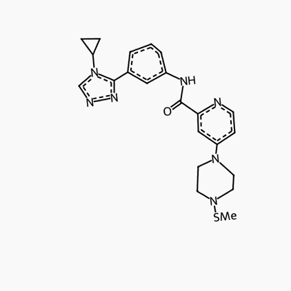 CSN1CCN(c2ccnc(C(=O)Nc3cccc(-c4nncn4C4CC4)c3)c2)CC1